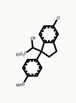 CCOC(=O)C(C#N)C1(c2ccc(OC)cc2)CCc2cc(Cl)ccc21